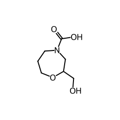 O=C(O)N1CCCOC(CO)C1